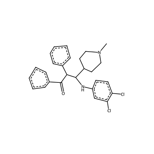 CN1CCC(C(Nc2ccc(Cl)c(Cl)c2)C(C(=O)c2ccccc2)c2ccccc2)CC1